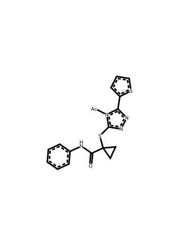 CC(=O)n1c(SC2(C(=O)Nc3ccccc3)CC2)nnc1-c1cccs1